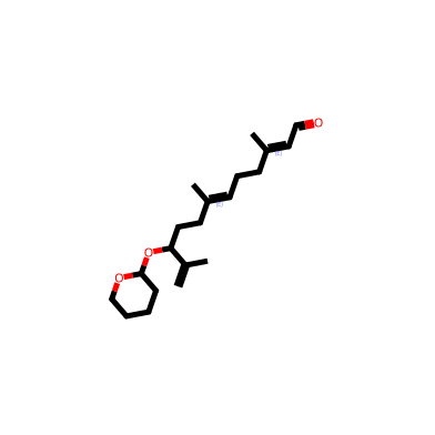 C=C(C)C(CC/C(C)=C/CC/C(C)=C/C=O)OC1CCCCO1